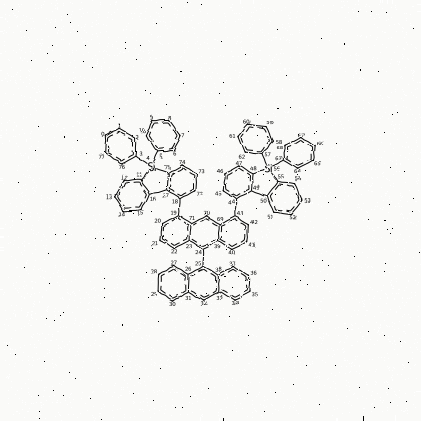 c1ccc([Si]2(c3ccccc3)c3ccccc3-c3c(-c4cccc5c(-c6c7ccccc7cc7ccccc67)c6cccc(-c7cccc8c7-c7ccccc7[Si]8(c7ccccc7)c7ccccc7)c6cc45)cccc32)cc1